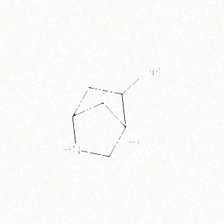 Cl.OC1CC2CC1CN2